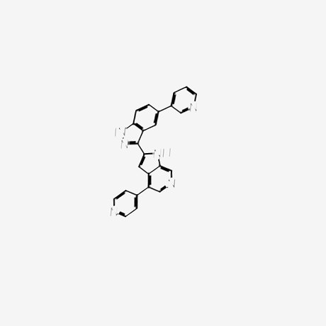 c1cncc(-c2ccc3[nH]nc(-c4cc5c(-c6ccncc6)cncc5[nH]4)c3c2)c1